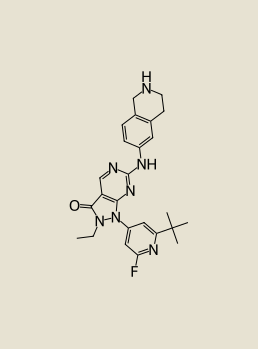 CCn1c(=O)c2cnc(Nc3ccc4c(c3)CCNC4)nc2n1-c1cc(F)nc(C(C)(C)C)c1